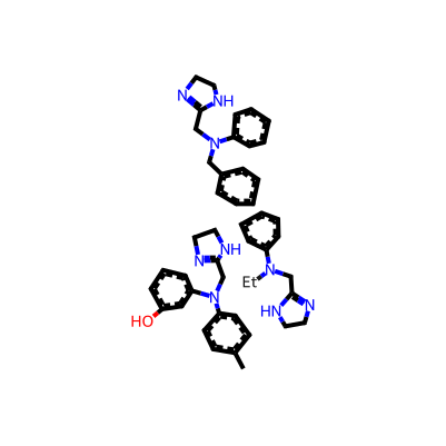 CCN(CC1=NCCN1)c1ccccc1.Cc1ccc(N(CC2=NCCN2)c2cccc(O)c2)cc1.c1ccc(CN(CC2=NCCN2)c2ccccc2)cc1